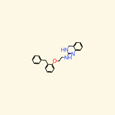 c1ccc(Cc2ccccc2OCCNC2=Nc3ccccc3CN2)cc1